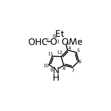 CCOC=O.COc1cccc2[nH]ccc12